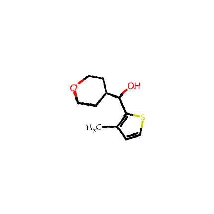 Cc1ccsc1C(O)C1CCOCC1